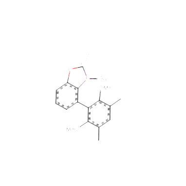 CCCCP1c2c(cccc2-c2c(OC)c(C)cc(C)c2OC)O[C@@H]1C